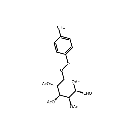 CC(=O)O[C@H]([C@H](OC(C)=O)[C@H](C=O)OC(C)=O)[C@@H](COOc1ccc(C=O)cc1)OC(C)=O